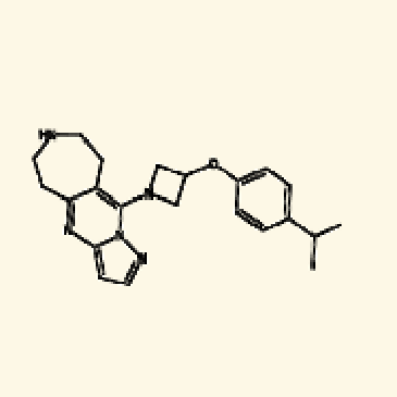 CC(C)c1ccc(OC2CN(c3c4c(nc5ccnn35)CCNCC4)C2)cc1